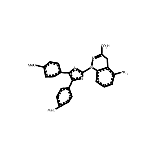 COc1ccc(-c2nc(N3N=C(C(=O)O)Cc4c3cccc4[N+](=O)[O-])sc2-c2ccc(OC)cc2)cc1